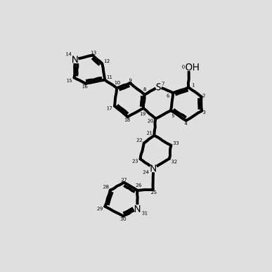 Oc1cccc2c1Sc1cc(-c3ccncc3)ccc1C2C1CCN(Cc2ccccn2)CC1